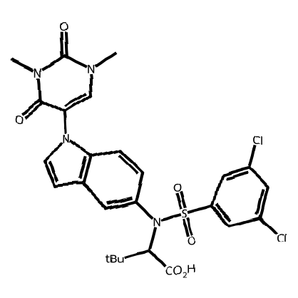 Cn1cc(-n2ccc3cc(N(C(C(=O)O)C(C)(C)C)S(=O)(=O)c4cc(Cl)cc(Cl)c4)ccc32)c(=O)n(C)c1=O